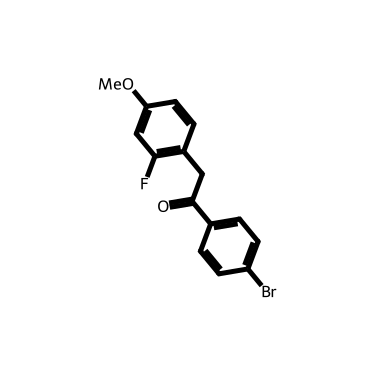 COc1ccc(CC(=O)c2ccc(Br)cc2)c(F)c1